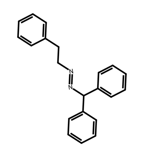 c1ccc(CCN=NC(c2ccccc2)c2ccccc2)cc1